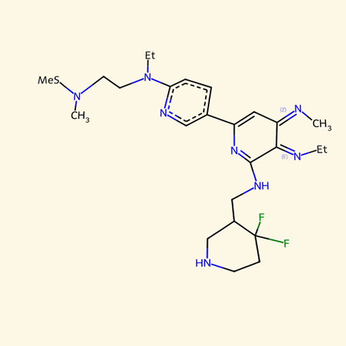 CC/N=C1/C(NCC2CNCCC2(F)F)=NC(c2ccc(N(CC)CCN(C)SC)nc2)=C/C1=N/C